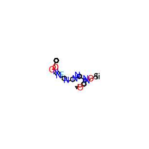 CC1(Oc2ccc3c(c2)c(-c2ccnc(N4CCC(CN5CCC(F)(CN6CCN(C(=O)OCc7ccccc7)CC6)CC5)CC4)c2)nn3COCC[Si](C)(C)C)CC1